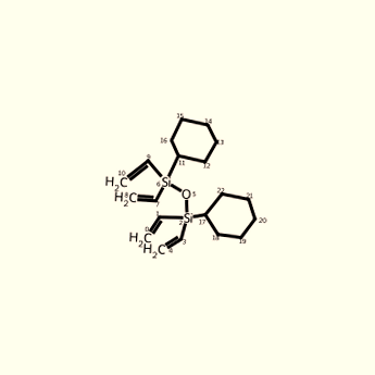 C=C[Si](C=C)(O[Si](C=C)(C=C)C1CCCCC1)C1CCCCC1